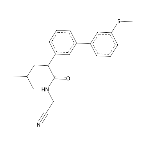 CSc1cccc(-c2cccc(C(CC(C)C)C(=O)NCC#N)c2)c1